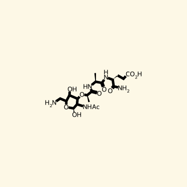 CC(=O)NC1C(O[C@H](C)C(=O)N[C@@H](C)C(=O)N[C@H](CCC(=O)O)C(N)=O)C(O)C(CN)O[C@H]1O